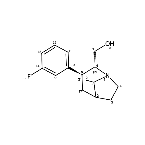 CC1C2CCN1[C@@H](CO)[C@H](c1cccc(F)c1)C2